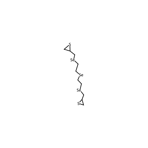 C(C[Se]CC1CS1)[Se]CC[Se]CC1CS1